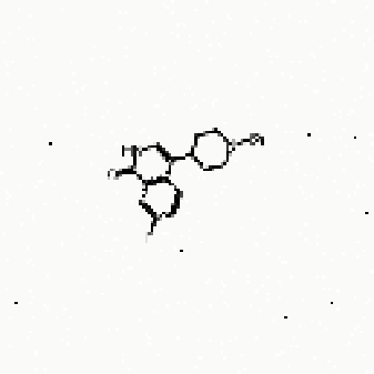 CC(C)N1CCC(c2c[nH]c(=O)c3cc(F)ccc23)CC1